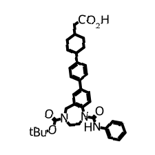 CC(C)(C)OC(=O)N1CCN(C(=O)Nc2ccccc2)c2ccc(-c3ccc(C4CCC(CC(=O)O)CC4)cc3)cc2C1